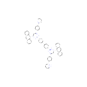 c1ccc(-c2ccc(-c3cc(-c4c5ccccc5cc5ccccc45)nc(-c4ccc(-c5ccc(-c6nc(-c7ccc(-c8ccccn8)cc7)cc(-c7c8ccccc8cc8ccccc78)n6)cc5)cc4)n3)cc2)nc1